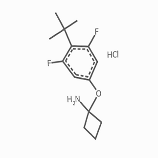 CC(C)(C)c1c(F)cc(OC2(N)CCC2)cc1F.Cl